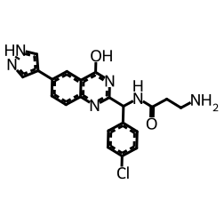 NCCC(=O)NC(c1ccc(Cl)cc1)c1nc(O)c2cc(-c3cn[nH]c3)ccc2n1